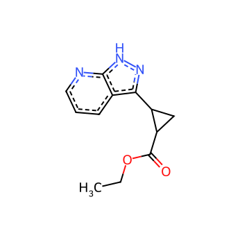 CCOC(=O)C1CC1c1n[nH]c2ncccc12